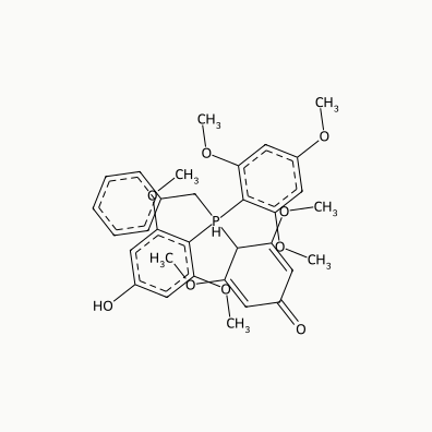 COC1=CC(=O)C=C(OC)C1[PH](Cc1ccccc1)(c1c(OC)cc(O)cc1OC)c1c(OC)cc(OC)cc1OC